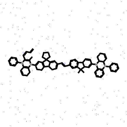 C=C/C=C\C1=C(C)N(C2=CC3=C(CC2)C2CC=C(/C=C/c4ccc5c(c4)C(C)(C)C4C=C(N6c7ccccc7N(c7ccccc7)C7C=CCCC76)C=CC54)C=C2C32CCCC2)C2=C(C=CCC2)N1c1ccccc1